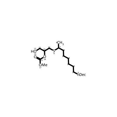 CCCCCCCCCCCCCCCCC(C)SCC(CO)OC(=O)OC